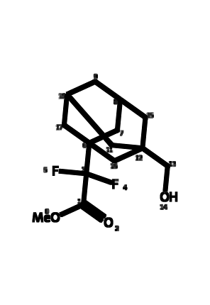 COC(=O)C(F)(F)C12CC3CC(CC(CO)(C3)C1)C2